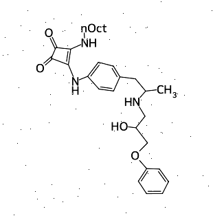 CCCCCCCCNc1c(Nc2ccc(CC(C)NCC(O)COc3ccccc3)cc2)c(=O)c1=O